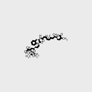 CC1=CC[C@@H]([C@@H](C)/C=C(C)/C=C\C=C/C(=O)N[C@@H](Cc2ccccc2)C(=O)N/C=C\C[C@H](C/C=C(\C)Cl)O[Si](C)(C)C(C)(C)C)OC1=O